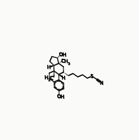 C=CC12CCc3cc(O)ccc3[C@H]1[C@@H](CCCCCSC#N)C[C@]1(C)[C@@H](O)CC[C@@H]21